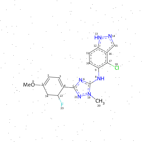 COC1=CC=C(c2nc(Nc3ccc4[nH]ncc4c3Cl)n(C)n2)C(F)C1